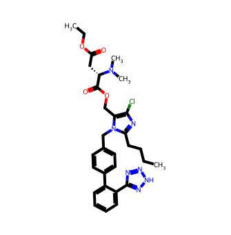 CCCCc1nc(Cl)c(COC(=O)[C@H](CC(=O)OCC)N(C)C)n1Cc1ccc(-c2ccccc2-c2nn[nH]n2)cc1